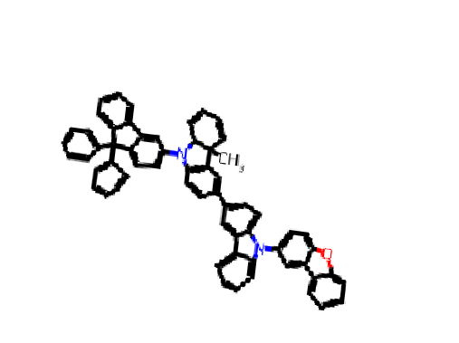 CC12C=CC=CC1N(c1ccc3c(c1)-c1ccccc1C3(c1ccccc1)c1ccccc1)c1ccc(-c3ccc4c(c3)c3ccccc3n4-c3ccc4oc5ccccc5c4c3)cc12